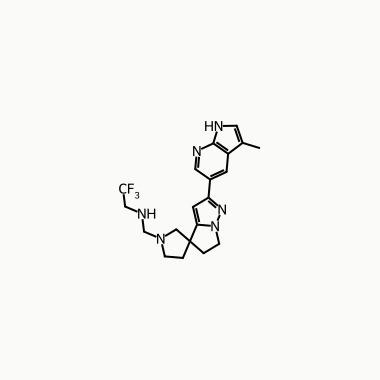 Cc1c[nH]c2ncc(-c3cc4n(n3)CCC43CCN(CNCC(F)(F)F)C3)cc12